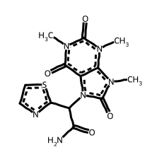 Cn1c(=O)c2c(n(C)c1=O)n(C)c(=O)n2C(C(N)=O)c1nccs1